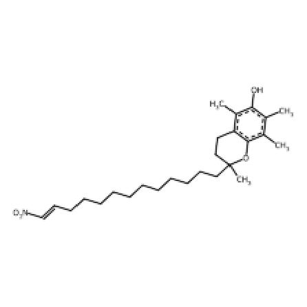 Cc1c(C)c2c(c(C)c1O)CCC(C)(CCCCCCCCCCC/C=C/[N+](=O)[O-])O2